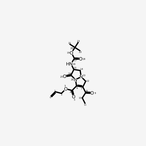 C=CCOC(=O)C1=C(C(=O)CC)CN2CC(NC(=O)OC(C)(C)C)C(=O)N12